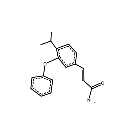 CC(C)c1ccc(C=CC(N)=O)cc1Oc1ccccc1